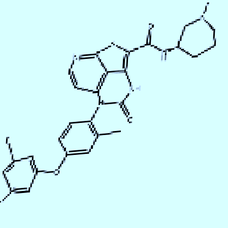 Cc1cc(Oc2cc(F)cc(F)c2)ccc1N1C(=O)Nc2c(C(=O)N[C@@H]3CCCN(C)C3)sc3nccc1c23